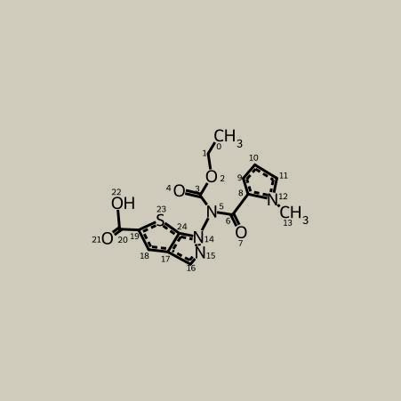 CCOC(=O)N(C(=O)c1cccn1C)n1ncc2cc(C(=O)O)sc21